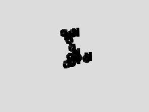 c1ccc(-n2c3ccncc3c3cc(-c4ccc(-c5nc6cc(-c7cccnc7)cnc6c6c5ccc5c7ccccc7oc56)cc4)ccc32)cc1